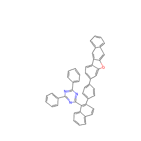 c1ccc(-c2nc(-c3ccccc3)nc(-c3c(-c4ccc(-c5ccc6c(c5)oc5cc7ccccc7cc56)cc4)ccc4ccccc34)n2)cc1